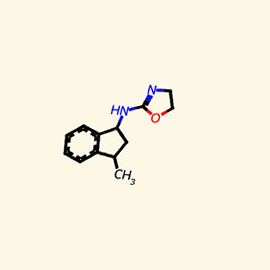 CC1CC(NC2=NCCO2)c2ccccc21